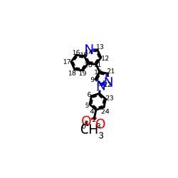 COC(=O)c1ccc(-n2cc(-c3ccnc4ccccc34)cn2)cc1